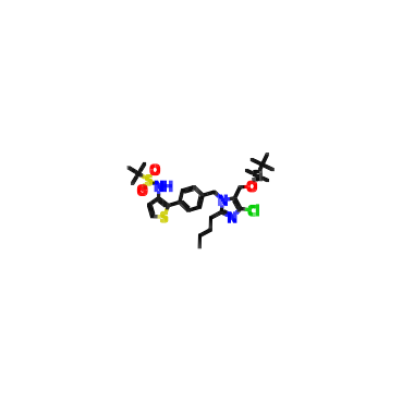 CCCCc1nc(Cl)c(CO[Si](C)(C)C(C)(C)C)n1Cc1ccc(-c2sccc2NS(=O)(=O)C(C)(C)C)cc1